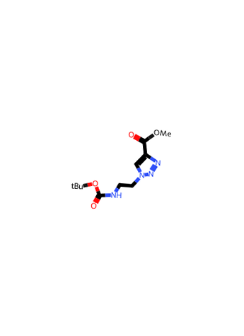 COC(=O)c1cn(CCNC(=O)OC(C)(C)C)nn1